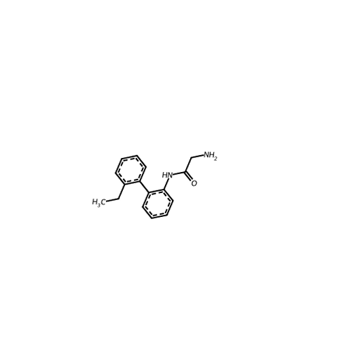 CCc1ccccc1-c1ccccc1NC(=O)CN